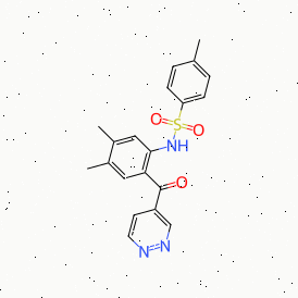 Cc1ccc(S(=O)(=O)Nc2cc(C)c(C)cc2C(=O)c2ccnnc2)cc1